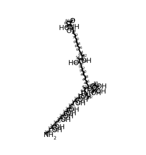 CC(C)CNC(CC(O)CC(O)CC(O)/C=C/CC(O)CC(O)CC(O)CC(O)/C=C/CC(O)CC(O)CCCN)C(C)C(C/C=C/C=C/C=C/C=C/C=C/C(O)C(C)C(O)C(C)/C=C/CC/C=C/C=C/C=C/C=C/C(=O)NC1=C(O)CCC1=O)OC1OC(C)C(O)C(O)C1O